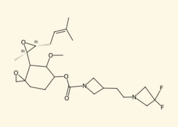 COC1C(OC(=O)N2CC(CCN3CC(F)(F)C3)C2)CCC2(CO2)C1[C@@]1(C)O[C@@H]1CC=C(C)C